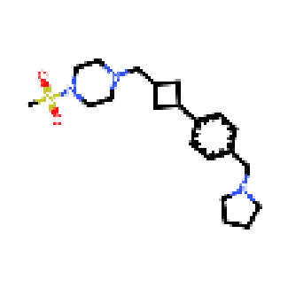 CS(=O)(=O)N1CCN(CC2CC(c3ccc(CN4CCCC4)cc3)C2)CC1